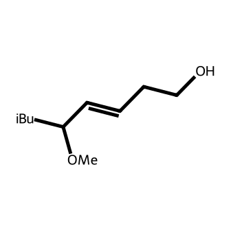 CCC(C)C(C=CCCO)OC